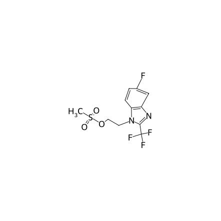 CS(=O)(=O)OCCn1c(C(F)(F)F)nc2cc(F)ccc21